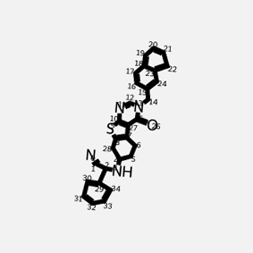 N#CC(NC1CCc2c(sc3ncn(Cc4ccc5ccccc5c4)c(=O)c23)C1)c1ccccc1